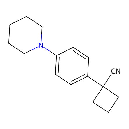 N#CC1(c2ccc(N3CCCCC3)cc2)CCC1